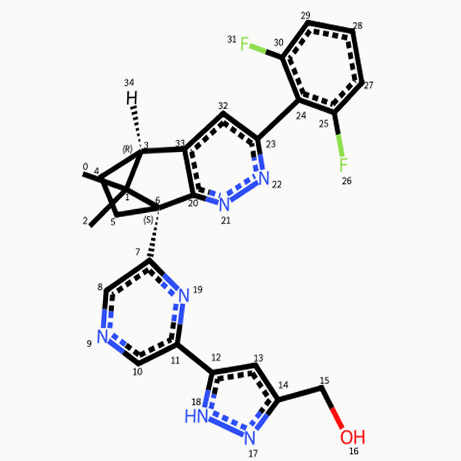 CC1(C)[C@H]2CC[C@]1(c1cncc(-c3cc(CO)n[nH]3)n1)c1nnc(-c3c(F)cccc3F)cc12